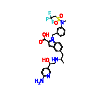 CC(Cc1ccc2c(c1)cc(C(=O)O)n2Cc1cccc(N(C)S(=O)(=O)CC(F)(F)F)c1)NCC(O)c1ccc(N)nc1